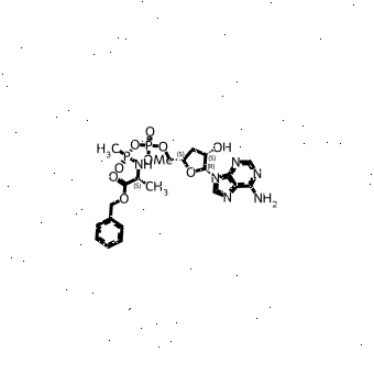 COP(=O)(OC[C@@H]1C[C@H](O)[C@H](n2cnc3c(N)ncnc32)O1)OP(C)(=O)N[C@@H](C)C(=O)OCc1ccccc1